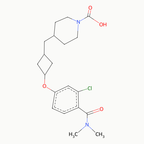 CN(C)C(=O)c1ccc(OC2CC(CC3CCN(C(=O)O)CC3)C2)cc1Cl